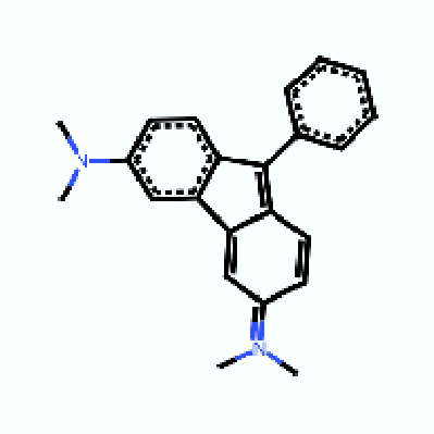 CN(C)c1ccc2c(c1)C1=CC(=[N+](C)C)C=CC1=C2c1ccccc1